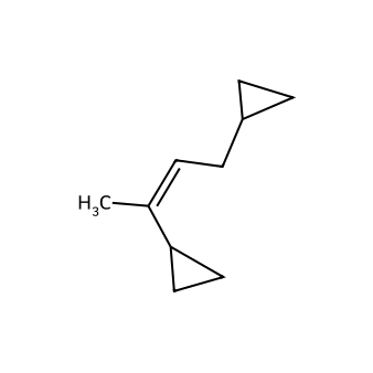 CC(=CCC1CC1)C1CC1